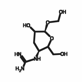 N=C(N)N[C@H]1CC(O)[C@@H](OCO)OC1CO